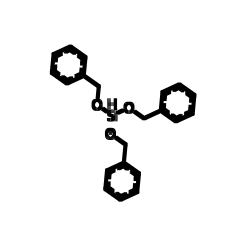 c1ccc(CO[SiH](OCc2ccccc2)OCc2ccccc2)cc1